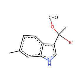 Cc1ccc2c(C(C)(Br)OC=O)c[nH]c2c1